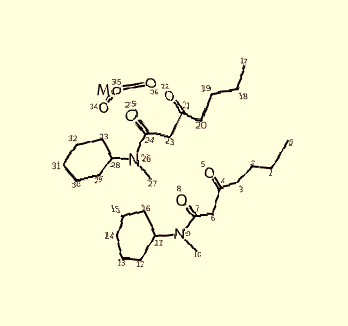 CCCCC(=O)CC(=O)N(C)C1CCCCC1.CCCCC(=O)CC(=O)N(C)C1CCCCC1.[O]=[Mo]=[O]